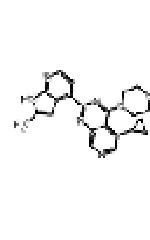 C[C@H]1CN(c2nc(-c3ccnc4[nH]c(C(F)(F)F)cc34)nc3cncc(C4CC4)c23)CCN1